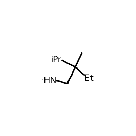 CCC(C)(C[NH])C(C)C